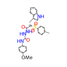 COc1ccc(NC(=O)NNC(=O)[C@H](Cc2c[nH]c3ccccc23)S(=O)(=O)c2ccc(C)cc2)cc1